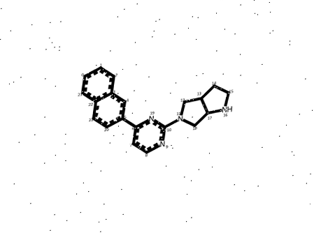 c1ccc2cc(-c3ccnc(N4CC5CCNC5C4)n3)ccc2c1